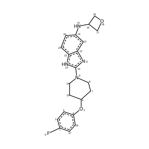 Fc1ccc(OC2CCN(c3nc4cc(NC5COC5)ccc4[nH]3)CC2)cc1